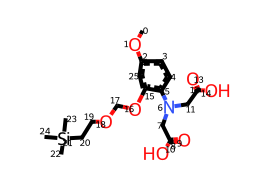 COc1ccc(N(CC(=O)O)CC(=O)O)c(OCOCC[Si](C)(C)C)c1